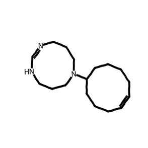 C1=CCCCC(N2CCCN=CNCCC2)CCCC1